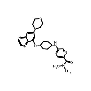 CN(C)C(=O)c1cnc(N[C@H]2CC[C@@H](Oc3cc(N4CCOCC4)cc4nccnc34)CC2)cn1